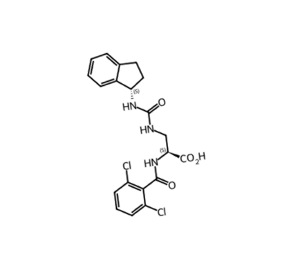 O=C(NC[C@H](NC(=O)c1c(Cl)cccc1Cl)C(=O)O)N[C@H]1CCc2ccccc21